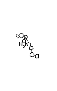 NC(CC(=O)Oc1ccc2c(c1)CCC2)Cc1ccc(-c2cccc(Cl)c2)cc1